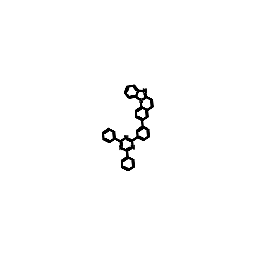 c1ccc(-c2nc(-c3ccccc3)nc(-c3cccc(-c4ccc5c(ccc6nc7ccccc7n65)c4)c3)n2)cc1